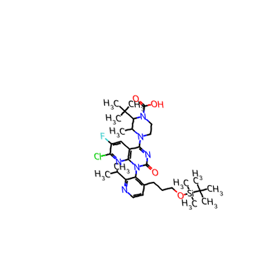 CC(C)c1nccc(CCCO[Si](C)(C)C(C)(C)C)c1-n1c(=O)nc(N2CCN(C(=O)O)C(C(C)(C)C)C2C)c2cc(F)c(Cl)nc21